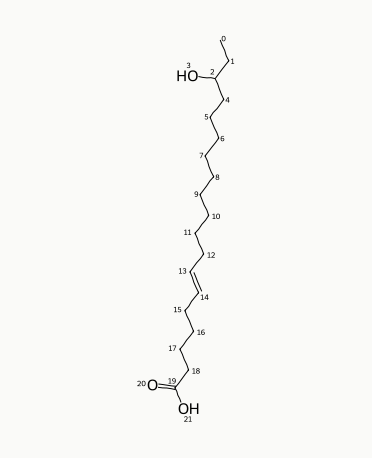 CCC(O)CCCCCCCCCC=CCCCCC(=O)O